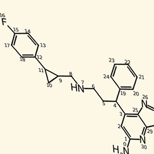 Nc1cc(C(CCNCC2CC2c2ccc(F)cc2)c2ccccc2)c2nn[nH]c2n1